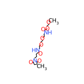 COCCOC(=O)NCCOCCOCCNC(=O)CCCN1C(=O)CC(C)C1=O